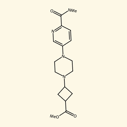 CNC(=O)c1ccc(N2CCN(C3CC(C(=O)OC)C3)CC2)cn1